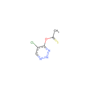 CC(=S)Oc1nnncc1Cl